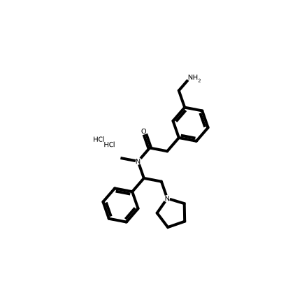 CN(C(=O)Cc1cccc(CN)c1)C(CN1CCCC1)c1ccccc1.Cl.Cl